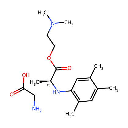 Cc1cc(C)c(N[C@@H](C)C(=O)OCCN(C)C)cc1C.NCC(=O)O